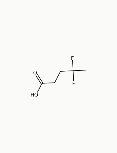 CC(F)(F)CCC(=O)O